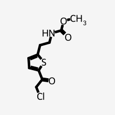 COC(=O)NCCc1ccc(C(=O)CCl)s1